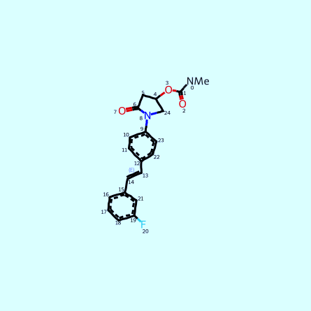 CNC(=O)OC1CC(=O)N(c2ccc(/C=C/c3cccc(F)c3)cc2)C1